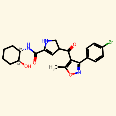 Cc1onc(-c2ccc(Br)cc2)c1C(=O)C1C=C(C(=O)N[C@H]2CCCC[C@@H]2O)NC1